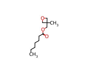 CCCCCCC(=O)OCC1(C)COC1